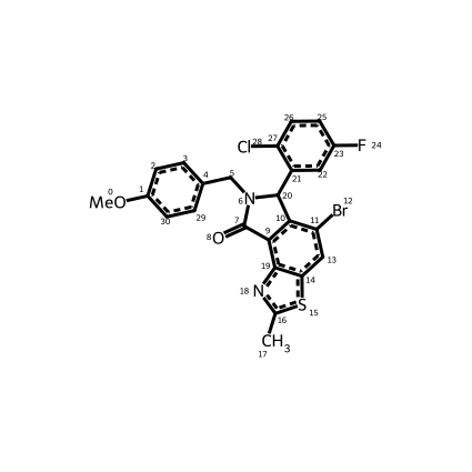 COc1ccc(CN2C(=O)c3c(c(Br)cc4sc(C)nc34)C2c2cc(F)ccc2Cl)cc1